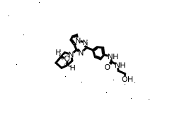 O=C(NCCO)Nc1ccc(-c2nc(N3C[C@H]4CC[C@@H](C3)O4)c3cccn3n2)cc1